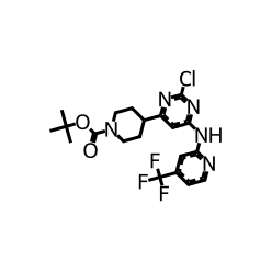 CC(C)(C)OC(=O)N1CCC(c2cc(Nc3cc(C(F)(F)F)ccn3)nc(Cl)n2)CC1